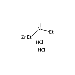 CCNCC.Cl.Cl.[Zr]